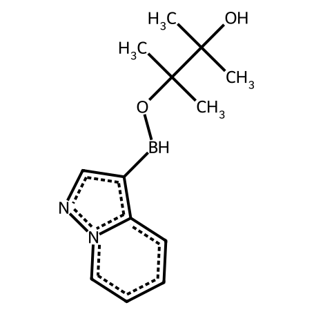 CC(C)(O)C(C)(C)OBc1cnn2ccccc12